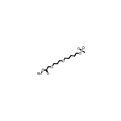 CC(C)(C)OC(=O)COCCCOCCCCCOS(C)(=O)=O